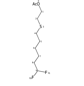 CC(=O)OCCSCCCCCC(F)F